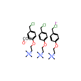 C[N+](C)(C)CCOc1ccc(CCl)cc1.C[N+](C)(C)CCOc1ccc(CCl)cc1.C[N+](C)(C)CCOc1ccc(CCl)cc1.O=C([O-])[O-].[I-]